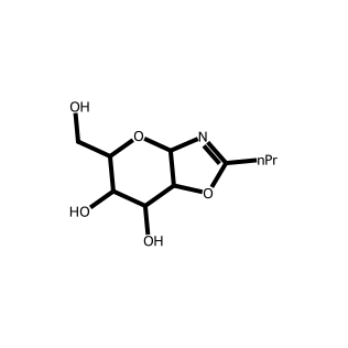 CCCC1=NC2OC(CO)C(O)C(O)C2O1